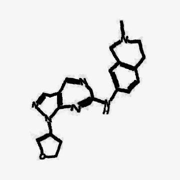 CN1CCc2ccc(Nc3ncc4cnn(C5CCOC5)c4n3)cc2C1